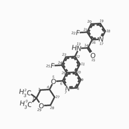 CC1(C)CC(Oc2nccc3cc(NC(=O)c4ncccc4F)cc(F)c23)CCO1